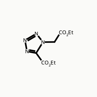 CCOC(=O)Cn1nnnc1C(=O)OCC